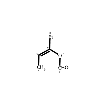 CC=C(CC)O[C]=O